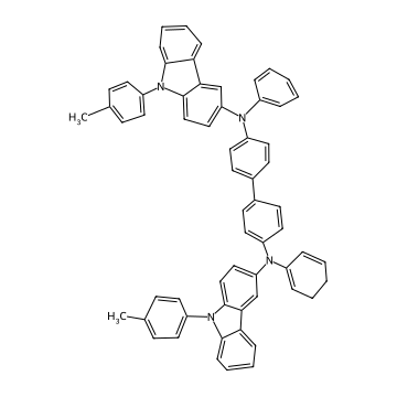 Cc1ccc(-n2c3ccccc3c3cc(N(C4=CCCC=C4)c4ccc(-c5ccc(N(c6ccccc6)c6ccc7c(c6)c6ccccc6n7-c6ccc(C)cc6)cc5)cc4)ccc32)cc1